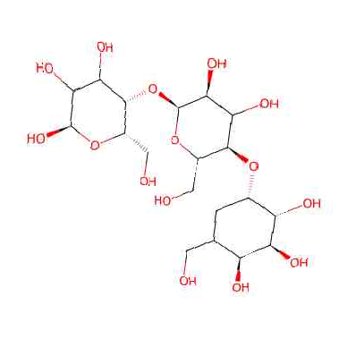 OCC1O[C@@H](O[C@H]2C(O)C(O)[C@H](O)O[C@H]2CO)[C@@H](O)C(O)[C@H]1O[C@H]1CC(CO)[C@H](O)[C@H](O)C1O